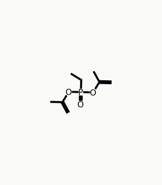 C=C(C)OP(=O)(CC)OC(=C)C